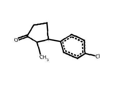 CC1[C](c2ccc(Cl)cc2)CCC1=O